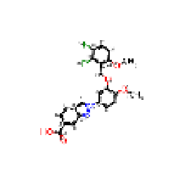 COc1ccc(-n2cc3ccc(C(=O)O)cc3n2)cc1OCc1c(OC)ccc(F)c1F